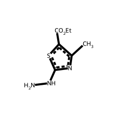 CCOC(=O)c1sc(NN)nc1C